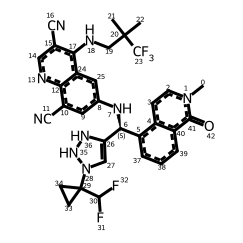 Cn1ccc2c([C@H](Nc3cc(C#N)c4ncc(C#N)c(NCC(C)(C)C(F)(F)F)c4c3)C3=CN(C4(C(F)F)CC4)NN3)cccc2c1=O